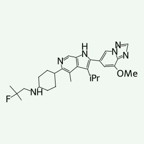 COc1cc(-c2[nH]c3cnc(C4CCC(NCC(C)(C)F)CC4)c(C)c3c2C(C)C)cn2ncnc12